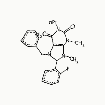 C=C1C2=C(N(C)C(=O)N1CCC)N(C)C(c1ccccc1F)N2Cc1ccccc1